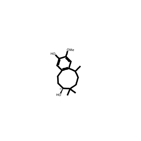 COc1cc2c(cc1O)CC[C@H](O)C(C)(C)CCC2C